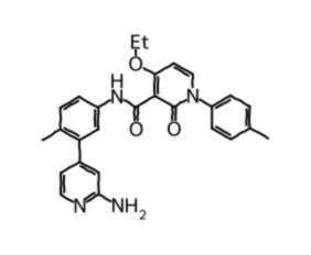 CCOc1ccn(-c2ccc(C)cc2)c(=O)c1C(=O)Nc1ccc(C)c(-c2ccnc(N)c2)c1